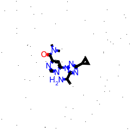 CC(N)c1nc(C2CC2)nn1-c1cc(C(=O)N(C)C)ncn1